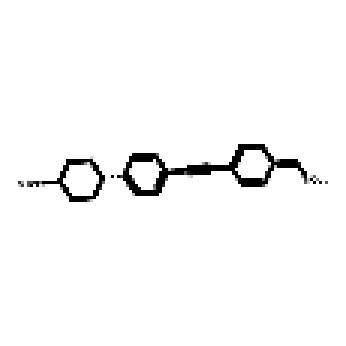 CCCCCCCCC=C1C=CC(C#Cc2ccc([C@H]3CC[C@H](CCCCCC)CC3)cc2)=CC1